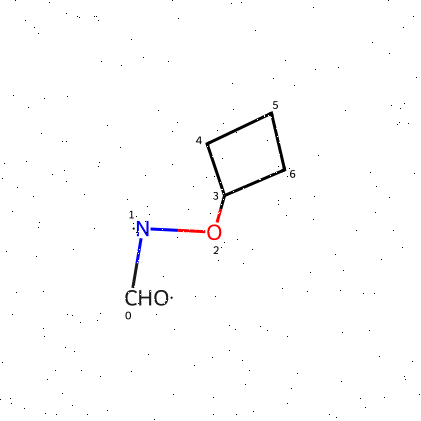 O=[C][N]OC1CCC1